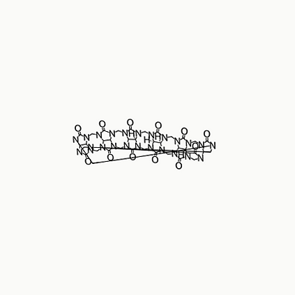 O=C1N2CN3C(=O)N4CN5C(=O)N6CN7C(=O)N8CN9C(=O)N%10CN%11C(=O)N%12CN1C1C2N2CN%13C(=O)N(CN%14C(=O)N(CN%15C(=O)N(CN%16C(=O)N(CN%17C(=O)N(CN1C2=O)C%12C%11%17)[C@H]%10C9%16)[C@@H]8[C@@H]7%15)[C@@H]6C%145)C4C%133